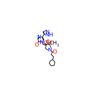 CC1(C)CN(C(=O)CCC2CCCCC2)CCC1(O)Cn1cc(-c2ccn[nH]2)ncc1=O